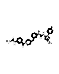 Cc1ccc(-n2nc(C(C)(C)C)cc2NC(=O)Nc2cccc(CC3CCN(C(=O)c4cccc(NC(N)=S)c4)CC3)c2)cc1